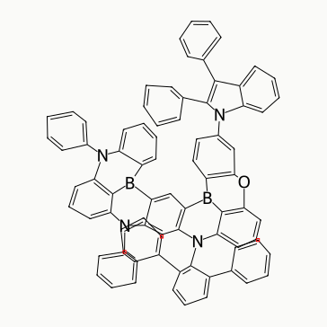 c1ccc(-c2cccc(-c3ccccc3)c2N2c3cc4c(cc3B3c5ccc(-n6c(-c7ccccc7)c(-c7ccccc7)c7ccccc76)cc5Oc5cccc2c53)B2c3ccccc3N(c3ccccc3)c3cccc(c32)N4c2ccccc2)cc1